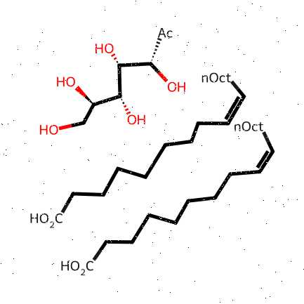 CC(=O)[C@H](O)[C@@H](O)[C@H](O)[C@H](O)CO.CCCCCCCC/C=C\CCCCCCCC(=O)O.CCCCCCCC/C=C\CCCCCCCC(=O)O